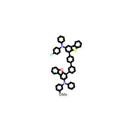 COc1cccc(N(c2ccccc2)c2cc(-c3cccc(-c4ccc(-c5cc(N(c6ccccc6)c6ccc(F)cc6)cc6c5sc5ccccc56)cc4)c3)c3oc4ccccc4c3c2)c1